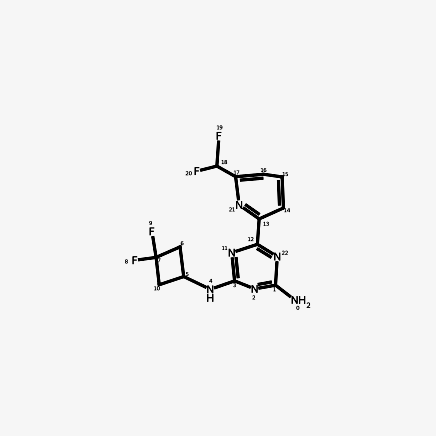 Nc1nc(NC2CC(F)(F)C2)nc(-c2cccc(C(F)F)n2)n1